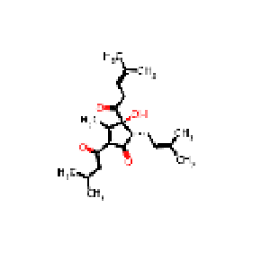 CC(C)=CCC(=O)[C@@]1(O)C(C)=C(C(=O)CC(C)C)C(=O)[C@H]1CC=C(C)C